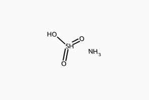 N.O=[SH](=O)O